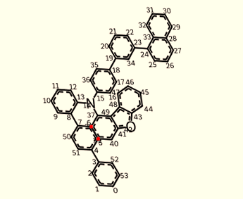 c1ccc(-c2ccc(-c3ccccc3N(c3ccc(-c4cccc(-c5cccc6ccccc56)c4)cc3)c3cccc4oc5ccccc5c34)cc2)cc1